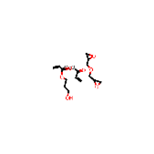 C(OCC1CO1)C1CO1.C=CC(=O)OC.C=CC(=O)OCCCO